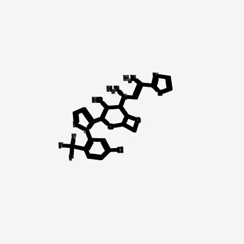 N/C(=C\N(N)C1C(O)C(c2ccnn2-c2cc(Cl)ccc2C(F)(F)F)OC2COC21)c1nccs1